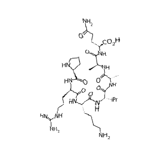 CC(C)[C@H](NC(=O)[C@H](CCCCN)NC(=O)[C@@H](CCCNC(=N)N)NC(=O)[C@@H]1CCCN1)C(=O)N[C@@H](C)C(=O)N[C@@H](C)C(=O)N[C@@H](CCC(N)=O)C(=O)O